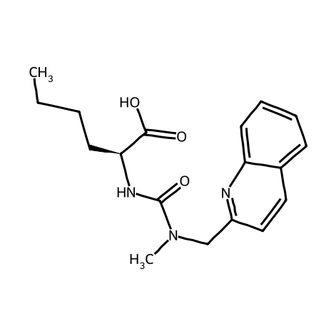 CCCC[C@H](NC(=O)N(C)Cc1ccc2ccccc2n1)C(=O)O